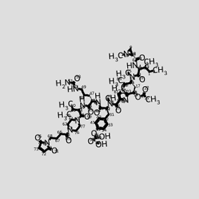 CC[C@H](C)[C@H](NC(=O)[C@H]1CN1C)C(=O)N(C)[C@H](C[C@@H](OC(C)=O)c1nc(C(=O)N(C)[C@@H](Cc2ccc(OP(=O)(O)O)cc2)C(=O)N[C@@H](CCCNC(N)=O)C(=O)N[C@H](C(=O)N2CCN(C(=O)CCCN3C(=O)C=CC3=O)CC2)C(C)C)cs1)C(C)C